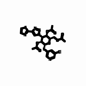 CC(=O)OC[C@H]1O[C@H](Sc2cncc(Cl)c2)[C@H](OC(C)=O)[C@@H](n2cc(-c3nccs3)nn2)[C@H]1OC(C)=O